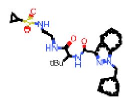 CC(C)(C)C(NC(=O)c1nn(Cc2ccccc2)c2ccccc12)C(=O)NCCNS(=O)(=O)C1CC1